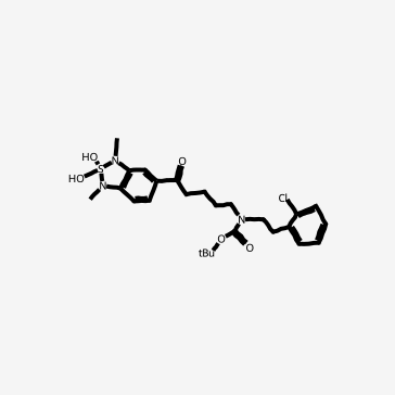 CN1c2ccc(C(=O)CCCCN(CCc3ccccc3Cl)C(=O)OC(C)(C)C)cc2N(C)S1(O)O